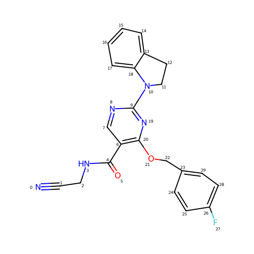 N#CCNC(=O)c1cnc(N2CCc3ccccc32)nc1OCc1ccc(F)cc1